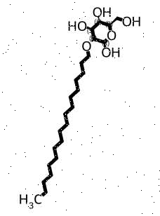 CCCCCCCCCCCCCCCCCCO[C@@H]1[C@@H](O)[C@H](O)[C@@H](CO)O[C@H]1O